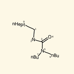 CCCCCCCC[N]C(=O)N(CCCC)CCCC